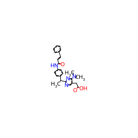 CC(c1ccc(NC(=O)C=Cc2ccccc2)cc1)c1ncc(CC(=O)O)c(N(C)C)n1